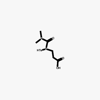 CN(C)C(=O)N([TeH])CCC(=O)O